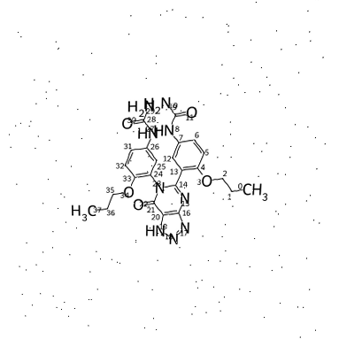 CCCOc1ccc(NC(N)=O)cc1-c1nc2nn[nH]c2c(=O)n1-c1cc(NC(N)=O)ccc1OCCC